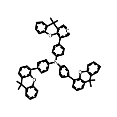 CC1(C)c2ccccc2Oc2c(-c3ccc(N(c4ccc(-c5cccc6c5Oc5ccccc5C6(C)C)cc4)c4ccc(-c5cccc6c5Oc5ccccc5C6(C)C)cc4)cc3)cccc21